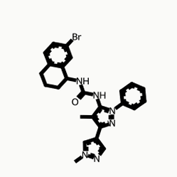 Cc1c(-c2cnn(C)c2)nn(-c2ccccc2)c1NC(=O)NC1CCCc2ccc(Br)cc21